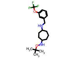 CC(C)(C)ONC1CCCC(NCc2cccc(OC(F)(F)F)c2)CC1